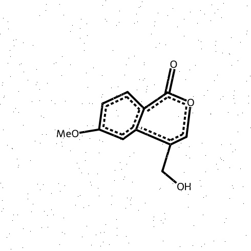 COc1ccc2c(=O)occ(CO)c2c1